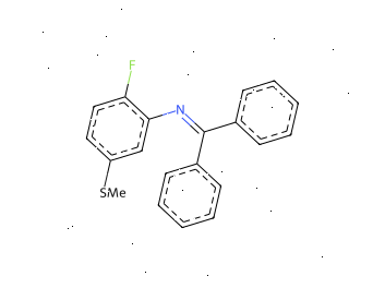 CSc1ccc(F)c(N=C(c2ccccc2)c2ccccc2)c1